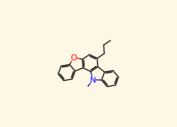 CCCc1cc2oc3ccccc3c2c2c1c1ccccc1n2C